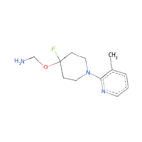 Cc1cccnc1N1CCC(F)(OCN)CC1